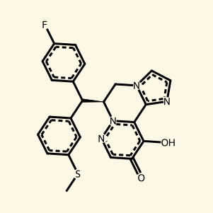 CSc1cccc(C(c2ccc(F)cc2)[C@H]2Cn3ccnc3-c3c(O)c(=O)cnn32)c1